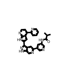 CC(C)C(=O)Nc1cncc(-c2cc3c(-c4cc5c(-c6ccccn6)ccnc5[nH]4)n[nH]c3cn2)c1